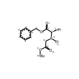 CCC[C@H](C(=O)OCc1ccccc1)N(CC)CC(=O)OC(C)(C)C